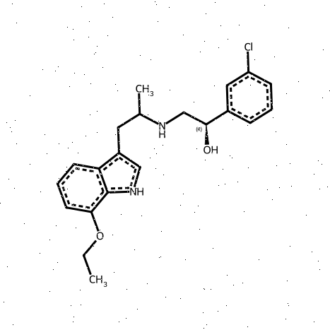 CCOc1cccc2c(CC(C)NC[C@H](O)c3cccc(Cl)c3)c[nH]c12